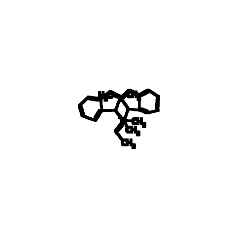 C[CH]=[Ti]([CH3])([CH3])([CH]1C(C)=Cc2ccccc21)[CH]1C(C)=Cc2ccccc21